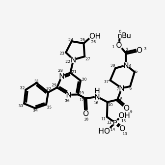 CCCCOC(=O)N1CCN(C(=O)C(CP(=O)(O)O)NC(=O)c2cc(N3CCC(O)C3)nc(-c3ccccc3)n2)CC1